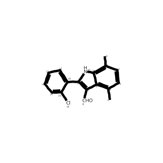 Cc1ccc(C)c2c(C=O)c(-c3ccccc3Cl)[nH]c12